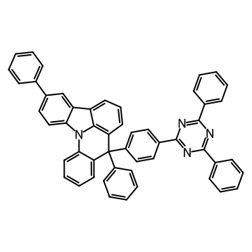 c1ccc(-c2ccc3c(c2)c2cccc4c2n3-c2ccccc2C4(c2ccccc2)c2ccc(-c3nc(-c4ccccc4)nc(-c4ccccc4)n3)cc2)cc1